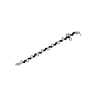 CCCOCCOCCOCCOCCOCCOCCOCCOCCOCCC(=O)NCCN